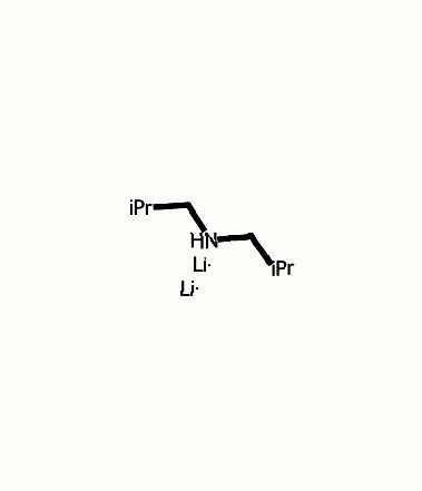 CC(C)CNCC(C)C.[Li].[Li]